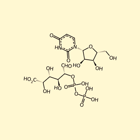 O=C[C@H](OP(=O)(O)OP(=O)(O)O)[C@@H](O)[C@@H](O)[C@H](O)C(=O)O.O=c1ccn([C@@H]2O[C@H](CO)[C@@H](O)[C@H]2O)c(=O)[nH]1